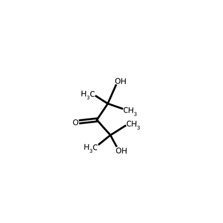 CC(C)(O)C(=O)C(C)(C)O